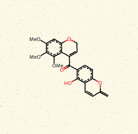 C=C1C=Cc2c(ccc(C(=O)C3=CCOc4cc(OC)c(OC)c(OC)c43)c2O)O1